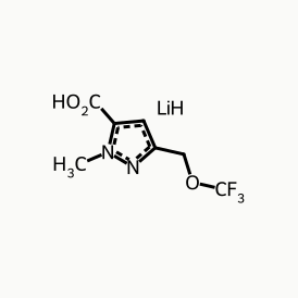 Cn1nc(COC(F)(F)F)cc1C(=O)O.[LiH]